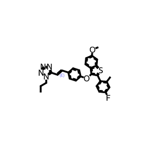 CCCn1nnnc1/C=C/c1ccc(Oc2c(-c3ccc(F)cc3C)sc3cc(OC)ccc23)cc1